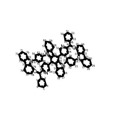 O=C(c1ccccc1)c1ccc(-c2c3c4ccccc4n(-c4ccc(-n5c6ccccc6c6ccccc65)cc4)c3c(-c3ccc(C(=O)c4ccccc4)nc3)c3c4ccccc4n(-c4ccc(-n5c6ccccc6c6ccccc65)cc4)c23)cn1